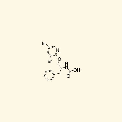 O=C(O)NC(COc1ncc(Br)cc1Br)Cc1ccccc1